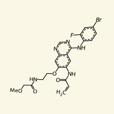 C=CC(=O)Nc1cc2c(Nc3ccc(Br)cc3F)ncnc2cc1OCCNC(=O)COC